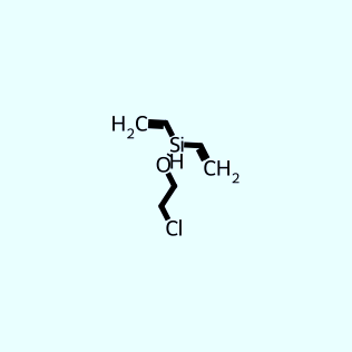 C=C[SiH](C=C)OCCCl